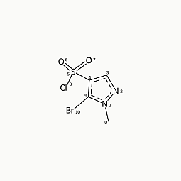 Cn1ncc(S(=O)(=O)Cl)c1Br